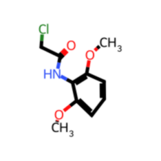 COc1cccc(OC)c1NC(=O)CCl